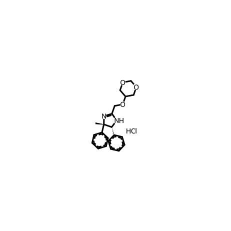 C[C@@]1(c2ccccc2)N=C(COC2COCOC2)N[C@@H]1c1ccccc1.Cl